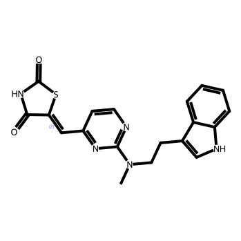 CN(CCc1c[nH]c2ccccc12)c1nccc(/C=C2\SC(=O)NC2=O)n1